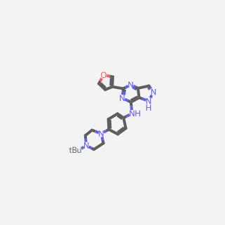 CC(C)(C)N1CCN(c2ccc(Nc3nc(-c4ccoc4)nc4cn[nH]c34)cc2)CC1